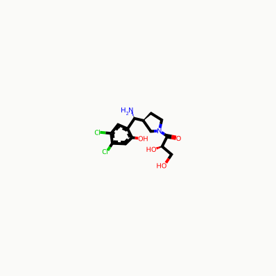 N[C@@H](c1cc(Cl)c(Cl)cc1O)[C@H]1CCN(C(=O)[C@H](O)CO)C1